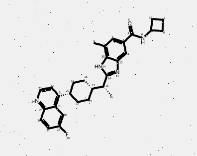 Cc1cc(C(=O)NC2CCC2)cc2nc([C@H](C)[C@H]3CC[C@@H](c4ccnc5ccc(F)cc54)CC3)[nH]c12